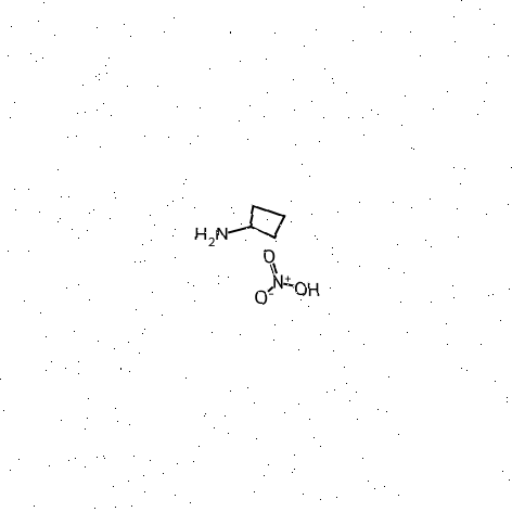 NC1CCC1.O=[N+]([O-])O